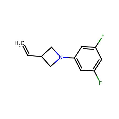 C=CC1CN(c2cc(F)cc(F)c2)C1